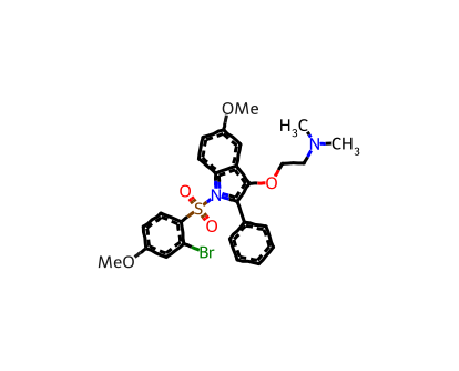 COc1ccc(S(=O)(=O)n2c(-c3ccccc3)c(OCCN(C)C)c3cc(OC)ccc32)c(Br)c1